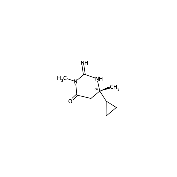 CN1C(=N)N[C@](C)(C2CC2)CC1=O